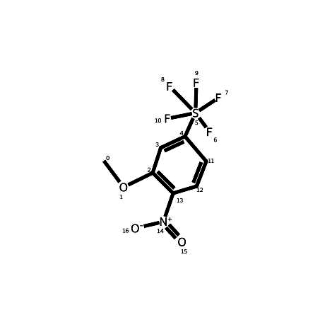 COc1cc(S(F)(F)(F)(F)F)ccc1[N+](=O)[O-]